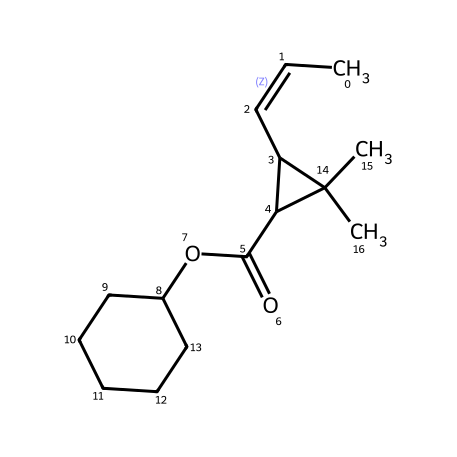 C/C=C\C1C(C(=O)OC2CCCCC2)C1(C)C